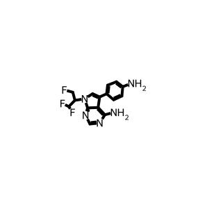 Nc1ccc(-c2cn(C(CF)C(F)F)c3ncnc(N)c23)cc1